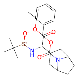 CCOC(=O)[C@@H](N[S@+]([O-])C(C)(C)C)C1CC2CCC(C1)N2C(=O)OCc1ccccc1